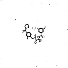 Cc1cc(C(=O)N2[C@H](C)CC[C@@H]2C)ccc1CNC(=O)C1(NC(=O)c2cc(F)cc(C(F)(F)F)c2)CC1